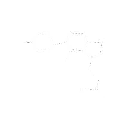 CN(C)CCc1c[nH]c2ccc(-c3ccc(F)cc3)c(Cl)c12